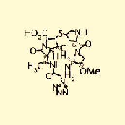 CO[C@H]1CN(C(=O)[C@@H]2CC(SC3=C(C(=O)O)N4C(=O)[C@H]([C@@H](C)NC(=O)Cn5cnnn5)[C@H]4[C@H]3C)CN2)C[C@@H]1N